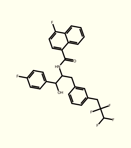 O=C(NC(Cc1cccc(CC(F)(F)C(F)F)c1)C(O)c1ccc(F)cc1)c1ccc(F)c2ccccc12